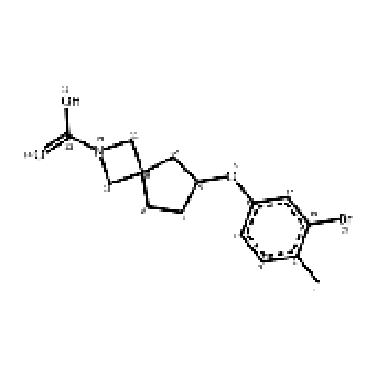 Cc1ccc(OC2CCC3(C2)CN(C(=O)O)C3)cc1Br